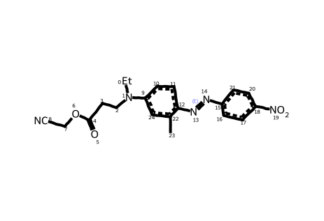 CCN(CCC(=O)OCC#N)c1ccc(/N=N/c2ccc([N+](=O)[O-])cc2)c(C)c1